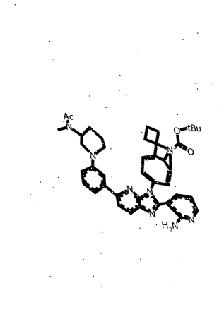 CC(=O)N(C)C1CCCN(c2cccc(-c3ccc4nc(-c5cccnc5N)n(C5=CC=C6C7C(=C5)[N+]7(C(=O)OC(C)(C)C)C65CCC5)c4n3)c2)C1